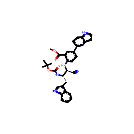 COC(=O)c1cc(-c2ccc3[nH]ccc3c2)ccc1N[C@@H](C#N)[C@H](Cc1c[nH]c2ccccc12)NC(=O)OC(C)(C)C